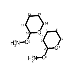 NOC1CCCCO1.NOC1CCCCO1